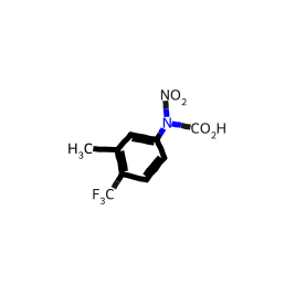 Cc1cc(N(C(=O)O)[N+](=O)[O-])ccc1C(F)(F)F